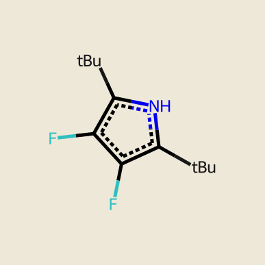 CC(C)(C)c1[nH]c(C(C)(C)C)c(F)c1F